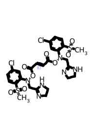 CS(=O)(=O)c1ccc(Cl)cc1N(CC1=NCCN1)OC(=O)/C=C/C(=O)ON(CC1=NCCN1)c1cc(Cl)ccc1S(C)(=O)=O